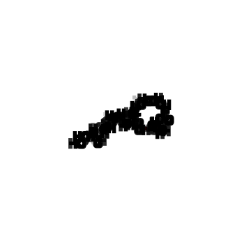 C=C1C[C@@H]2CC[C@]34CC(O3)[C@@H]3O[C@H]5CC[C@H](CC(=O)O[C@@H]6[C@@H](C)[C@@H]7O[C@@H]8C[C@@]9(C[C@@H]%10O[C@]%11(C[C@H](C)[C@@H]%12O[C@@H]%13[C@@H]([C@@H](O)CO)CO[C@@H]%13C[C@@H]%12O%11)C[C@H](C)[C@@H]%10O9)O[C@@H]8C[C@@H]7O[C@H]6C[C@H]6O[C@@H](CC[C@@H]1O2)C[C@@H](C)C6=C)O[C@@H]5[C@H](O4)[C@@H]3OC